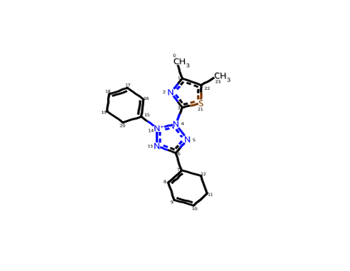 Cc1nc(-n2nc(C3=CC=CCC3)n[n+]2C2=CC=CCC2)sc1C